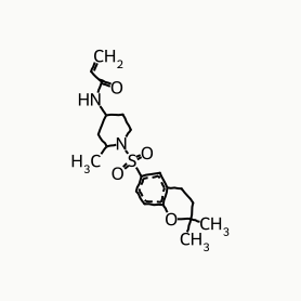 C=CC(=O)NC1CCN(S(=O)(=O)c2ccc3c(c2)CCC(C)(C)O3)C(C)C1